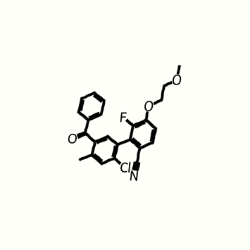 COCCOc1ccc(C#N)c(-c2cc(C(=O)c3ccccc3)c(C)cc2Cl)c1F